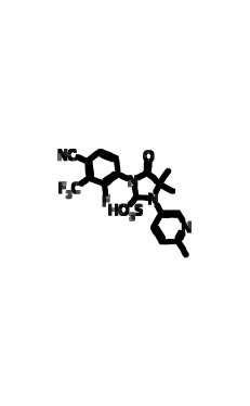 Cc1ccc(N2C(S(=O)(=O)O)N(c3ccc(C#N)c(C(F)(F)F)c3F)C(=O)C2(C)C)cn1